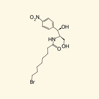 O=C(CCCCCCCBr)N[C@H](CO)[C@H](O)c1ccc([N+](=O)[O-])cc1